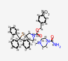 NC(=O)N1CCN(C[C@@H]2C[C@H](SC(c3ccccc3)(c3ccccc3)c3ccccc3)CN2C(=O)OCc2ccc([N+](=O)[O-])cc2)CC1